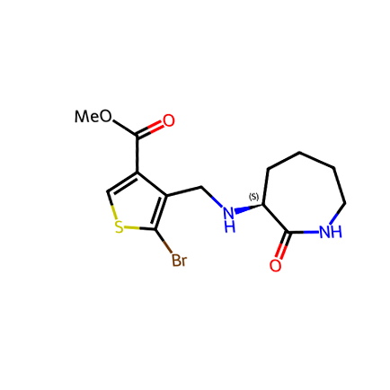 COC(=O)c1csc(Br)c1CN[C@H]1CCCCNC1=O